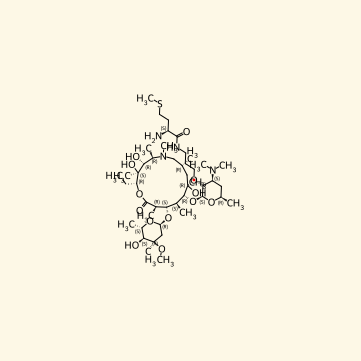 CC[C@H]1OC(=O)[C@H](C)[C@@H](O[C@H]2C[C@@](C)(OC)[C@@H](O)[C@H](C)O2)[C@H](C)[C@@H](O[C@@H]2O[C@H](C)C[C@H](N(C)C)[C@H]2OCCCNC(=O)[C@@H](N)CCSC)[C@](C)(O)C[C@@H](C)CN(C)[C@H](C)[C@@H](O)[C@]1(C)O